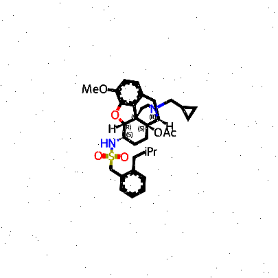 COc1ccc2c3c1O[C@H]1[C@@H](NS(=O)(=O)Cc4ccccc4CC(C)C)CC[C@@]4(OC(C)=O)[C@@H](C2)N(CC2CC2)CC[C@]314